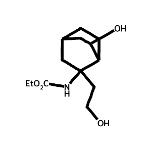 CCOC(=O)NC1(CCO)CC2CCC1C(O)C2